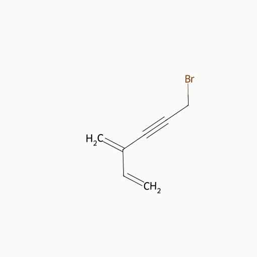 C=CC(=C)C#CCBr